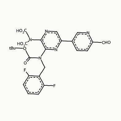 CC(C)(C)OC(=O)N(Cc1c(F)cccc1F)c1nc(-c2ccc(C=O)nc2)cnc1N(C(=O)O)C(=O)O